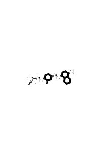 C=Nc1ccc(/N=N/c2ccc(/N=N/c3nc(C)ns3)c(C)c2)c2ccccc12